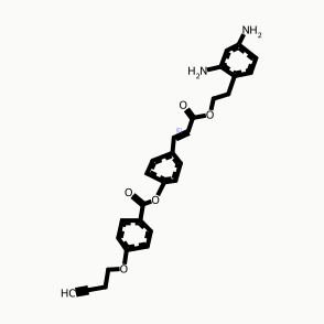 C#CCCOc1ccc(C(=O)Oc2ccc(/C=C/C(=O)OCCc3ccc(N)cc3N)cc2)cc1